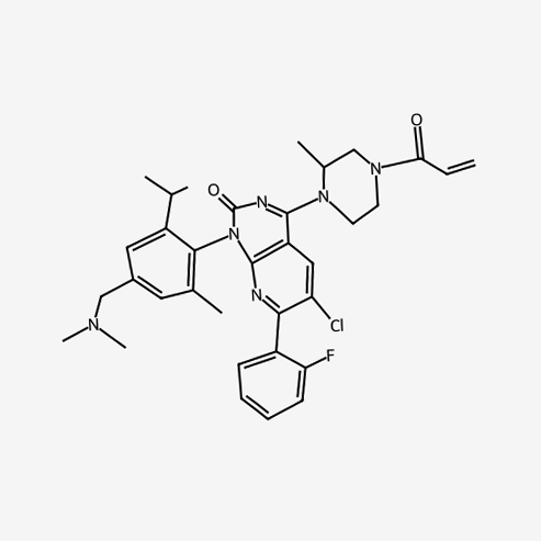 C=CC(=O)N1CCN(c2nc(=O)n(-c3c(C)cc(CN(C)C)cc3C(C)C)c3nc(-c4ccccc4F)c(Cl)cc23)C(C)C1